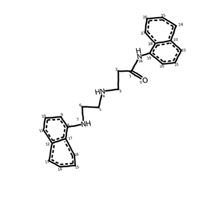 O=C(CCNCCNc1cccc2ccccc12)Nc1cccc2ccccc12